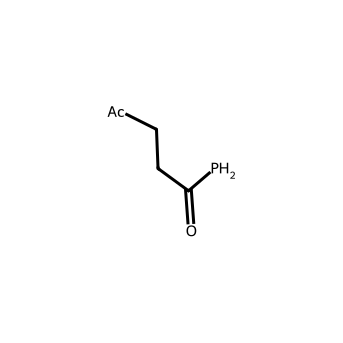 CC(=O)CCC(=O)P